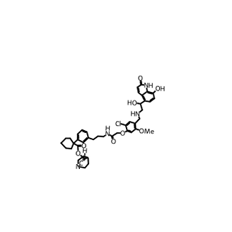 COc1cc(OCC(=O)NCCCc2cccc(C3(C(=O)O[C@H]4CN5CCC4CC5)CCCCC3)c2)c(Cl)cc1CNCC(O)c1ccc(O)c2[nH]c(=O)ccc12